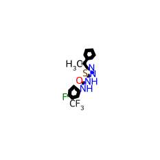 C[C@@H](c1ccccc1)c1nnc(NC(=O)Nc2ccc(F)c(C(F)(F)F)c2)s1